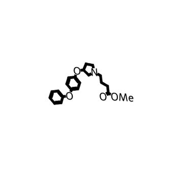 COC(=O)CCCN1CCC(Oc2ccc(Oc3ccccc3)cc2)C1